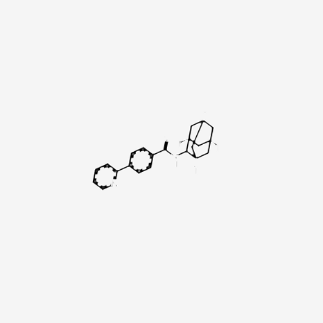 O=C(NC1[C@H]2C[C@@H]3C[C@@H](C[C@H]1C3)C2)c1ccc(-c2ccccn2)cc1